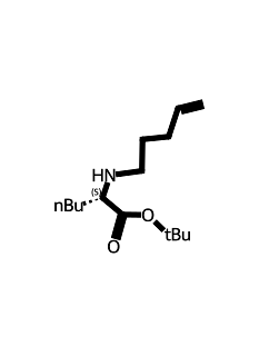 C=CCCCN[C@@H](CCCC)C(=O)OC(C)(C)C